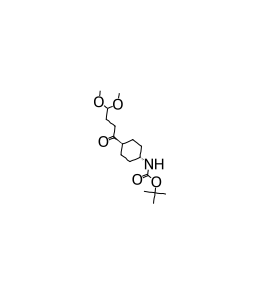 COC(CCC(=O)[C@H]1CC[C@H](NC(=O)OC(C)(C)C)CC1)OC